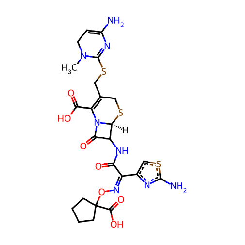 CN1CC=C(N)N=C1SCC1=C(C(=O)O)N2C(=O)C(NC(=O)/C(=N\OC3(C(=O)O)CCCC3)c3csc(N)n3)[C@@H]2SC1